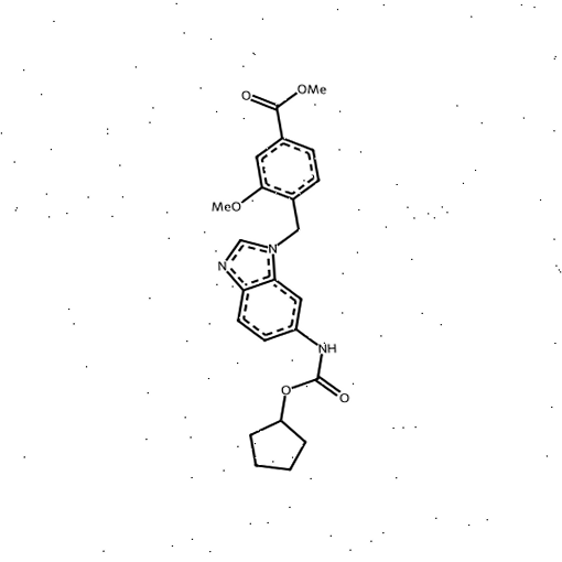 COC(=O)c1ccc(Cn2cnc3ccc(NC(=O)OC4CCCC4)cc32)c(OC)c1